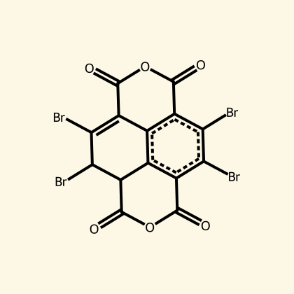 O=C1OC(=O)c2c(Br)c(Br)c3c4c2C1=C(Br)C(Br)C4C(=O)OC3=O